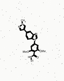 CCNC(=O)c1c(OC)cc(-n2cnc3cc(-c4cnn(C)c4)ccc32)cc1OC